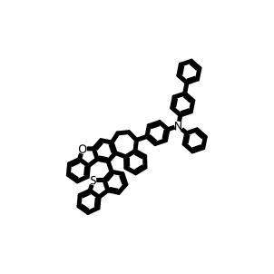 c1ccc(-c2ccc(N(c3ccccc3)c3ccc(C4CCc5cc6oc7ccccc7c6c(-c6cccc7c6sc6ccccc67)c5-c5ccccc54)cc3)cc2)cc1